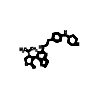 CC(C)[C@H]1COC(=O)N1c1nc(NCCc2ccc(NC3CCNCC3)cc2)nc2ccsc12